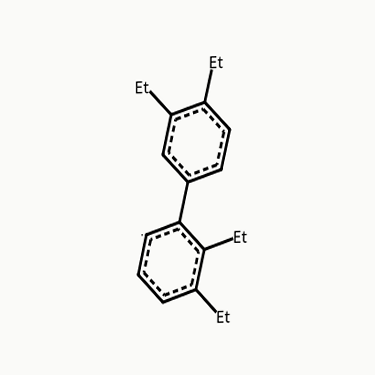 CCc1ccc(-c2[c]ccc(CC)c2CC)cc1CC